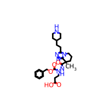 CC1(C(=O)NN(CCC(=O)O)C(=O)OCc2ccccc2)CCCn2c(CCC3CCNCC3)nnc21